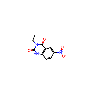 CCn1c(=O)[nH]c2ccc([N+](=O)[O-])cc2c1=O